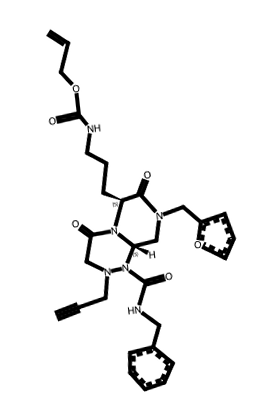 C#CCN1CC(=O)N2[C@@H](CCCNC(=O)OCC=C)C(=O)N(Cc3ccco3)C[C@@H]2N1C(=O)NCc1ccccc1